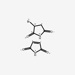 O=C1C=CC(=O)N1.O=C1CC(Br)C(=O)N1